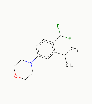 CC(C)c1cc(N2CCOCC2)ccc1C(F)F